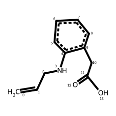 C=CCNc1ccccc1CC(=O)O